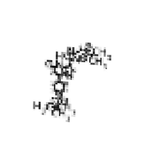 CC(C)S(=O)(=O)Cc1noc(-c2cnn3c(C4CCN(C(=O)OC(C)(C)C)CC4)cc(=O)[nH]c23)n1